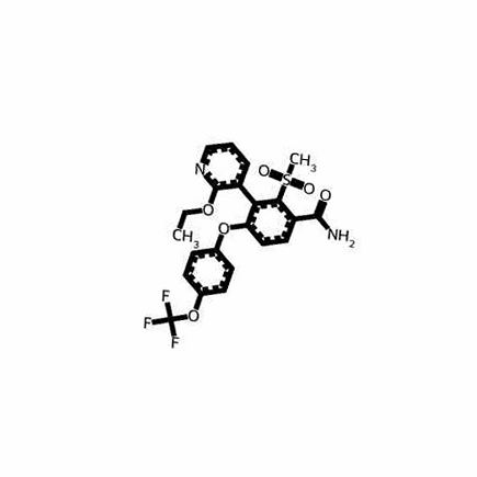 CCOc1ncccc1-c1c(Oc2ccc(OC(F)(F)F)cc2)ccc(C(N)=O)c1S(C)(=O)=O